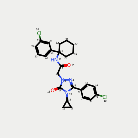 O=C(Cn1nc(-c2ccc(Cl)cc2)n(C2CC2)c1=O)NC1(c2cccc(Cl)c2)CCCCC1